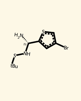 CC(C)(C)SN[C@H](N)c1cc(Br)cs1